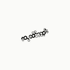 CS(=O)(=O)c1cccc(C[C@H](CCC(=O)c2c(Cl)cc3c(c2Cl)CCN(C(=O)c2ccc4ccoc4c2)C3)C(=O)O)c1